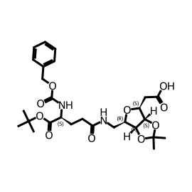 CC(C)(C)OC(=O)[C@H](CCC(=O)NC[C@H]1O[C@@H](CC(=O)O)[C@@H]2OC(C)(C)O[C@@H]21)NC(=O)OCc1ccccc1